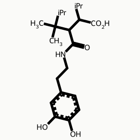 CC(C)C(C(=O)O)C(C(=O)NCCc1ccc(O)c(O)c1)C(C)(C)C(C)C